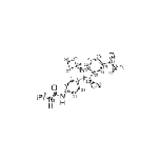 CC(C)NC(=O)Nc1ccc(-c2c(C#N)c3cc(C(=O)N(C)C)ccc3n2C2CCC2)cc1